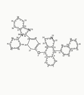 C1=C(Oc2c3ccccc3c(-c3ccc4ccccc4c3)c3cnccc23)CCC(c2nc3ccccc3n2-c2ccccc2)=C1